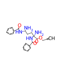 C#CCOC(=O)C(N)(CCC(N)NC(=O)c1ccccc1)NC(=O)c1ccccc1